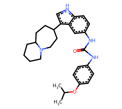 CC(C)Oc1ccc(NC(=O)Nc2ccc3[nH]cc(C4CCC5CCCCN5CC4)c3c2)cc1